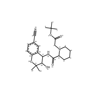 CC(C)(C)OC(=O)CN1CCCCC1C(=O)NC1c2cc(C#N)ccc2OC(C)(C)C1O